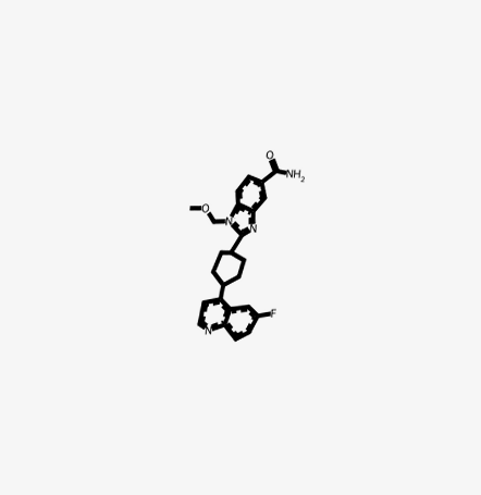 COCn1c(C2CCC(c3ccnc4ccc(F)cc34)CC2)nc2cc(C(N)=O)ccc21